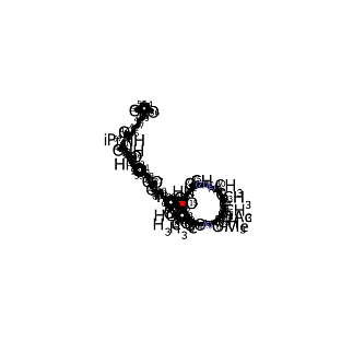 CO[C@H]1/C=C/O[C@@]2(C)Oc3c(C)c(O)c4c(=O)c(c5oc6cc(N7CC(OC(=O)OCc8ccc(NC(=O)CNC(=O)C(NC(=O)CCCCCN9C(=O)C=CC9=O)C(C)C)cc8)C7)cc(O)c6nc-5c4c3C2=O)NC(=O)/C(C)=C\C=C\[C@H](C)C[C@@H](C)C[C@@H](C)[C@H](OC(C)=O)[C@@H]1C